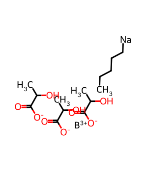 CC(O)C(=O)[O-].CC(O)C(=O)[O-].CC(O)C(=O)[O-].CCCC[CH2][Na].[B+3]